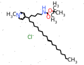 CCCCCCCCC=CCCCCCCCCC(CCCCNC(=O)OC(C)(C)C)c1cc[n+](C)cc1.[Cl-]